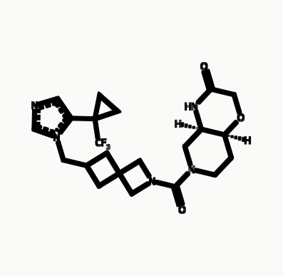 O=C1CO[C@H]2CCN(C(=O)N3CC4(CC(Cn5cncc5C5(C(F)(F)F)CC5)C4)C3)C[C@H]2N1